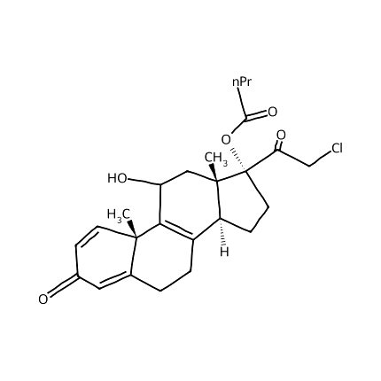 CCCC(=O)O[C@]1(C(=O)CCl)CC[C@H]2C3=C(C(O)C[C@@]21C)[C@@]1(C)C=CC(=O)C=C1CC3